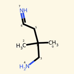 CC(C)(CN)CC=N